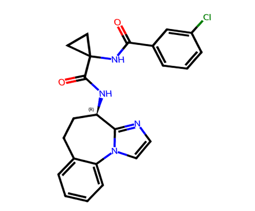 O=C(NC1(C(=O)N[C@@H]2CCc3ccccc3-n3ccnc32)CC1)c1cccc(Cl)c1